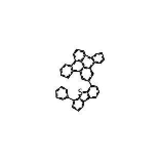 c1ccc(-c2cccc3c2sc2c(-c4cc5c6ccccc6c6cccc7c8ccccc8c(c4)c5c67)cccc23)cc1